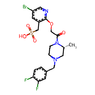 C[C@@H]1CN(Cc2ccc(F)c(F)c2)CCN1C(=O)COc1ncc(Br)cc1CS(=O)(=O)O